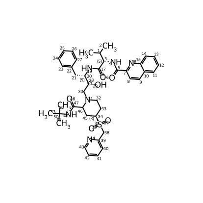 CC(C)[C@H](NC(=O)c1ccc2ccccc2n1)C(=O)N[C@@H](Cc1ccccc1)[C@H](O)CN1CC[C@@H](S(=O)(=O)Cc2ccccn2)CC1C(=O)NC(C)(C)C